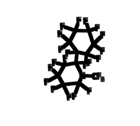 FC(F)(F)N1C(F)(F)C(F)(F)C(F)(F)C(F)(F)C1(F)C1(F)C(F)(F)C(F)(F)C(F)(F)C(F)(F)C1(F)F